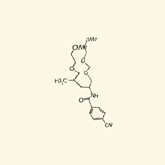 COCCOCOCC(CC(COCCOC)C(=O)O)NC(=O)c1ccc(C#N)cc1